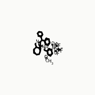 COc1ccc(N(C)S(=O)(=O)C(F)(F)F)cc1CNC1C2C3CCCCC2CN(C3)C1C(c1ccccc1)c1ccccc1